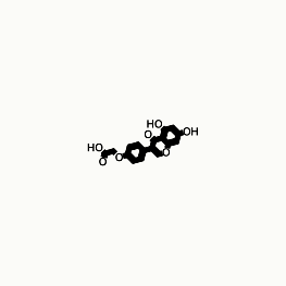 O=C(O)COc1ccc(-c2coc3cc(O)cc(O)c3c2=O)cc1